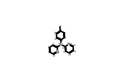 Cc1ccc(N(c2ccccn2)c2ccccn2)cc1